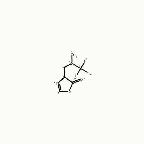 CN(CC1N=CCC1=O)C(F)(F)F